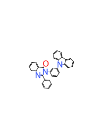 O=c1c2ccccc2nc(-c2ccccc2)n1-c1cccc(-n2c3ccccc3c3ccccc32)c1